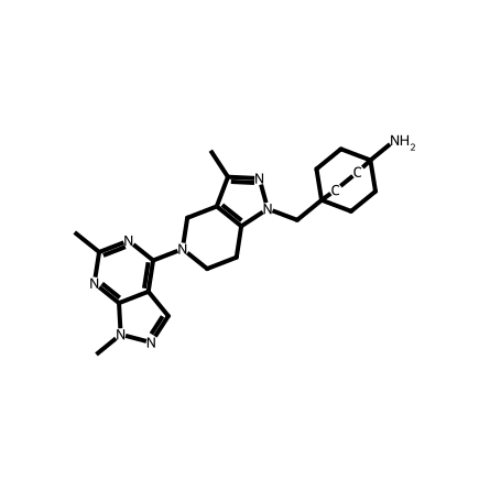 Cc1nc(N2CCc3c(c(C)nn3CC34CCC(N)(CC3)CC4)C2)c2cnn(C)c2n1